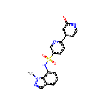 Cn1ncc2cccc(NS(=O)(=O)c3ccc(-c4cc[nH]c(=O)c4)nc3)c21